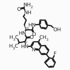 Cc1cc(N[C@H](C(=O)N[C@@H](CCCNC(N)=O)C(=O)Nc2ccc(CO)cc2)C(C)C)nc2cc(-c3ccccc3F)ccc12